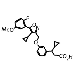 COc1ccc(F)c(-c2onc(COc3cccc(C(CC(=O)O)C4CC4)c3)c2C2CC2)c1